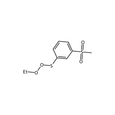 CCOOSc1cccc(S(C)(=O)=O)c1